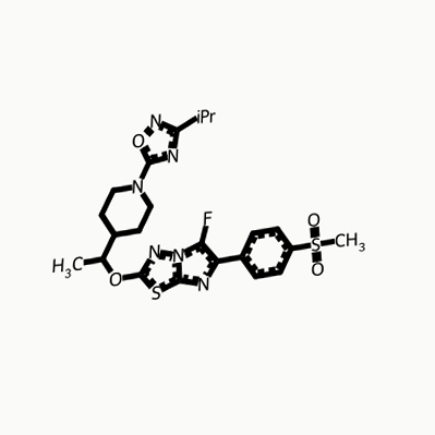 CC(C)c1noc(N2CCC(C(C)Oc3nn4c(F)c(-c5ccc(S(C)(=O)=O)cc5)nc4s3)CC2)n1